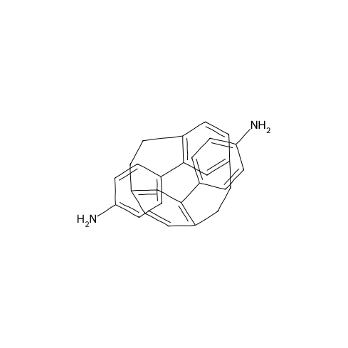 Nc1ccc(-c2cc3ccc2CCc2ccc(c(-c4ccc(N)cc4)c2)CC3)cc1